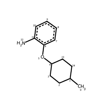 CC1CCC(Oc2ccccc2N)CC1